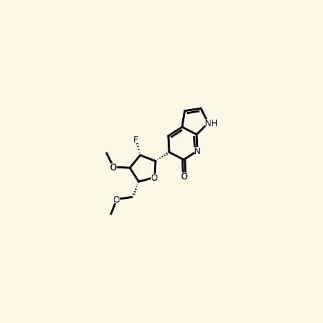 COC[C@H]1O[C@@H](C2C=c3cc[nH]c3=NC2=O)[C@@H](F)C1OC